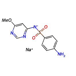 COc1cc([N-]S(=O)(=O)c2ccc(N)cc2)ncn1.[Na+]